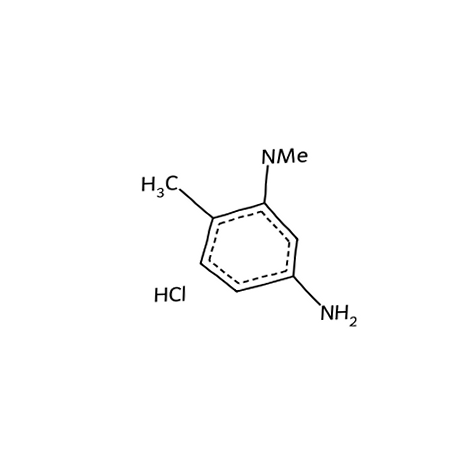 CNc1cc(N)ccc1C.Cl